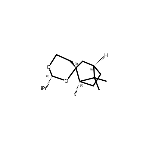 CC(C)[C@@H]1OCC[C@]2(C[C@H]3CC[C@]2(C)C3(C)C)O1